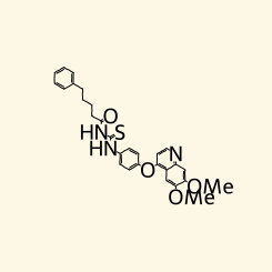 COc1cc2nccc(Oc3ccc(NC(=S)NC(=O)CCCCc4ccccc4)cc3)c2cc1OC